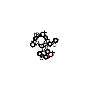 Cc1cc2c3cc1N1c4cc5c(cc4B4c6cc7c(cc6N(c6cccc8oc9ccccc9c68)c6cc(cc1c64)N1c4cc(c(C(C)(C)C)cc4C4(C)CCCCC14C)C3(C)CCC2(C)C)C(C)(C)CCC7(C)C)oc1ccccc15